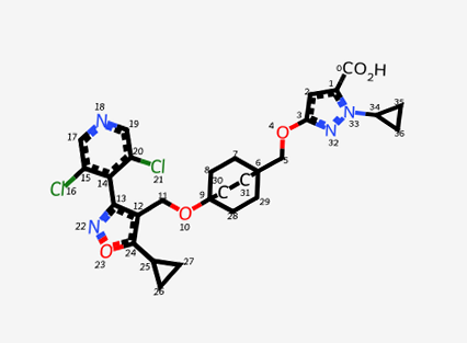 O=C(O)c1cc(OCC23CCC(OCc4c(-c5c(Cl)cncc5Cl)noc4C4CC4)(CC2)CC3)nn1C1CC1